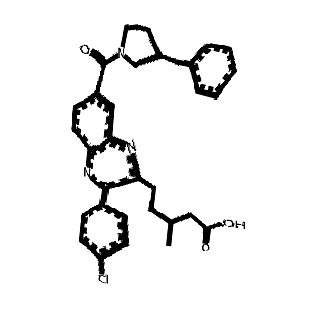 CC(CCc1nc2cc(C(=O)N3CCC(c4ccccc4)C3)ccc2nc1-c1ccc(Cl)cc1)CC(=O)O